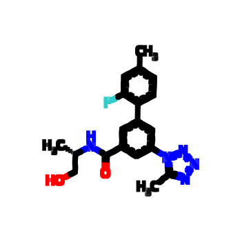 Cc1ccc(-c2cc(C(=O)N[C@@H](C)CO)cc(-n3nnnc3C)c2)c(F)c1